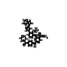 COc1c(Nc2nc(Nc3ccc(C(=O)N4CCOCC4)cc3)ncc2C(N)=O)cccc1-c1cnn([C@@H]2CCC23OCCO3)c1